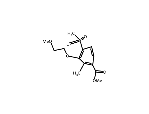 COCCOc1c(S(C)(=O)=O)ccc(C(=O)OC)c1C